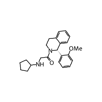 COc1ccccc1[C@H]1c2ccccc2CCN1C(=O)CNC1CCCC1